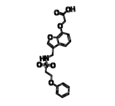 O=C(O)COc1cccc2c(CNS(=O)(=O)CCOc3ccccc3)coc12